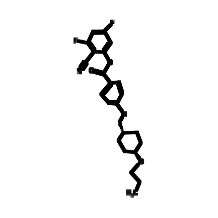 CCCO[C@H]1CC[C@H](COc2ccc(C(=O)Oc3cc(F)cc(F)c3C#N)cc2)CC1